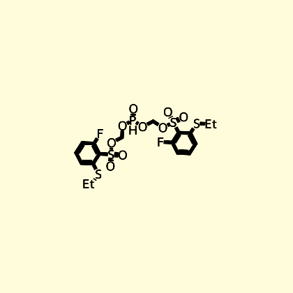 CCSc1cccc(F)c1S(=O)(=O)OCO[PH](=O)OCOS(=O)(=O)c1c(F)cccc1SCC